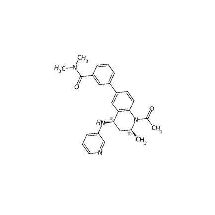 CC(=O)N1c2ccc(-c3cccc(C(=O)N(C)C)c3)cc2[C@H](Nc2cccnc2)C[C@@H]1C